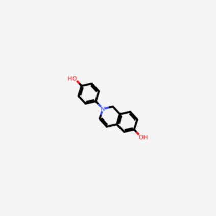 Oc1ccc(N2C=Cc3cc(O)ccc3C2)cc1